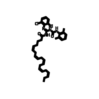 CC/C=C\C/C=C\C/C=C\C/C=C\C/C=C\CCCC(=O)NC(=Nc1c(Cl)cccc1Cl)NC(=O)Nc1c(C)cccc1C